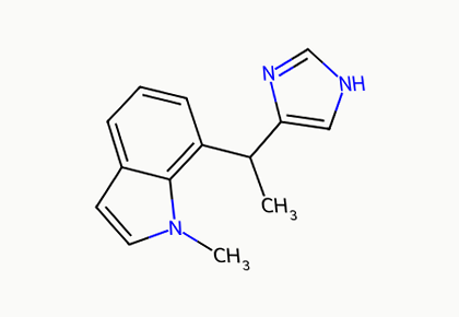 CC(c1c[nH]cn1)c1cccc2ccn(C)c12